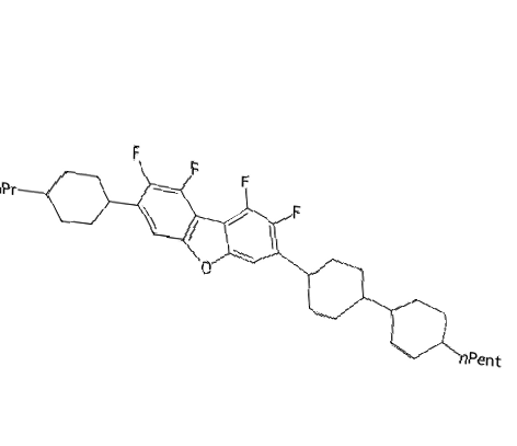 CCCCCC1CCC(C2CCC(c3cc4oc5cc(C6CCC(CCC)CC6)c(F)c(F)c5c4c(F)c3F)CC2)CC1